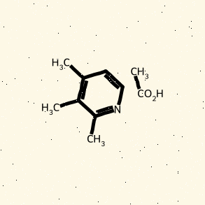 CC(=O)O.Cc1ccnc(C)c1C